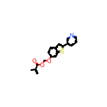 C=C(C)C(=O)OCOc1ccc2cc(-c3cccnc3)sc2c1